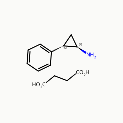 N[C@@H]1C[C@H]1c1ccccc1.O=C(O)CCC(=O)O